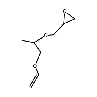 C=COCC(C)OCC1CO1